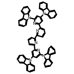 c1cc(-c2cccc(-c3cc(-n4c5ccccc5c5ccccc54)cc(-n4c5ccccc5c5ccccc54)n3)n2)nc(-c2cc(-n3c4ccccc4c4ccccc43)cc(-n3c4ccccc4c4ccccc43)n2)c1